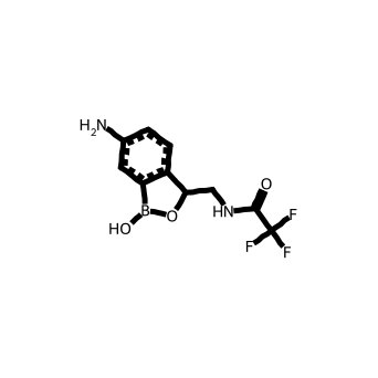 Nc1ccc2c(c1)B(O)OC2CNC(=O)C(F)(F)F